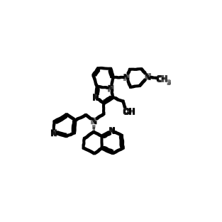 CN1CCN(c2cccc3nc(CN(Cc4ccncc4)[C@H]4CCCc5cccnc54)c(CO)n23)CC1